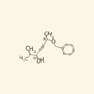 C=C(C)[C@H](O)C#C[C@@H](C)OCc1ccccc1